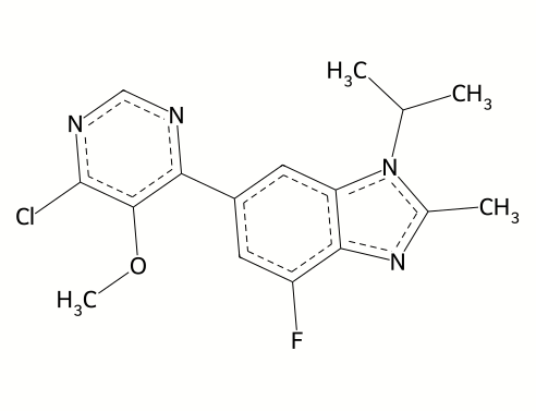 COc1c(Cl)ncnc1-c1cc(F)c2nc(C)n(C(C)C)c2c1